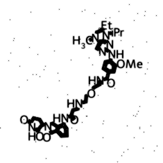 CC[C@@H]1CN(C)c2cnc(Nc3ccc(C(=O)NCCOCCNCCC(=O)Nc4cccc5c4CN(C4CCC(=O)NC4=O)C5=O)cc3OC)nc2N1C(C)C